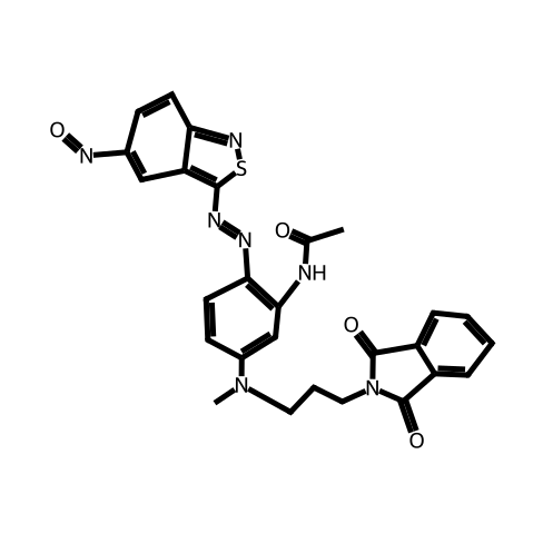 CC(=O)Nc1cc(N(C)CCCN2C(=O)c3ccccc3C2=O)ccc1/N=N/c1snc2ccc(N=O)cc12